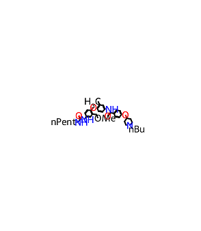 CCCCCNC(=O)Nc1ccc(Oc2ccc(NC(=O)c3ccc(OC4CCN(CCCC)CC4)cc3)cc2C)c(COC)c1